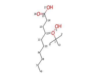 CC(C)(C)OO.CCCCCCCCCC(=O)O